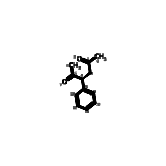 CC(=O)C[C@H](C(C)=O)c1ccccc1